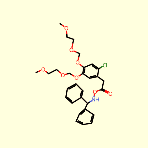 COCCOCOc1cc(Cl)c(CC(=O)ONC(c2ccccc2)c2ccccc2)cc1OCOCCOC